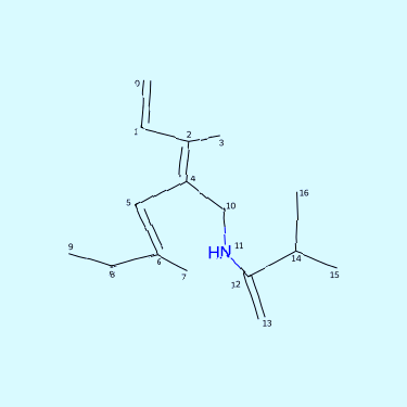 C=C/C(C)=C(\C=C(/C)CC)CNC(=C)C(C)C